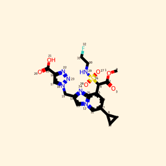 COC(=O)C(c1cc(C2CC2)cn2cc(Cn3cc(C(=O)O)nn3)nc12)S(=O)(=O)NCCF